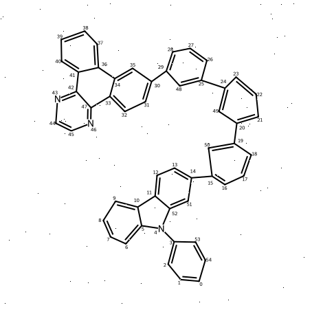 c1ccc(-n2c3ccccc3c3ccc(-c4cccc(-c5cccc(-c6cccc(-c7ccc8c(c7)c7ccccc7c7nccnc87)c6)c5)c4)cc32)cc1